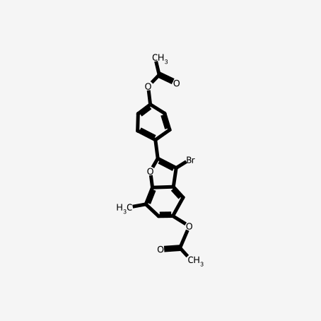 CC(=O)Oc1ccc(-c2oc3c(C)cc(OC(C)=O)cc3c2Br)cc1